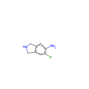 Nc1cc2c(cc1F)CNC2